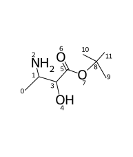 CC(N)C(O)C(=O)OC(C)(C)C